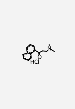 CN(C)CCC(=O)c1cccc2ccccc12.Cl